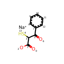 O=C([O-])C(S)C(=O)c1ccccc1.[Na+]